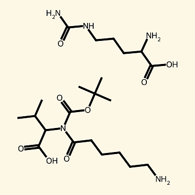 CC(C)C(C(=O)O)N(C(=O)CCCCCN)C(=O)OC(C)(C)C.NC(=O)NCCCC(N)C(=O)O